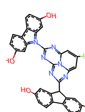 Oc1ccc2c(c1)C(C1=NC3=CC(F)=CC4=NC(n5c6cc(O)ccc6c6ccc(O)cc65)=NC(=N1)N34)c1cc(O)ccc1-2